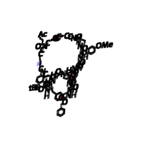 COc1ccc(C[C@@H]2NC(=O)[C@H]([C@@H](C)OCc3cn(CCNC(=O)OCc4ccccc4)nn3)NC(=O)[C@@H]3[C@@H]4CCN3C(=O)[C@H](Cc3cn(c5ccc(F)cc35)C/C=C/CCCN(C(=O)CCC(C)=O)Cc3ccc(cc3)CCNC(=O)[C@]3(C)CCCN3C2=O)NC(=O)[C@@H](NC(=O)OC(C)(C)C)Cc2cccc(c2)CNC(=O)CO4)cc1